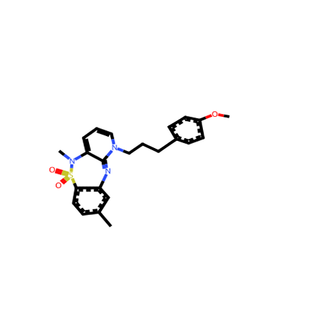 COc1ccc(CCCN2C=CC=C3C2=Nc2cc(C)ccc2S(=O)(=O)N3C)cc1